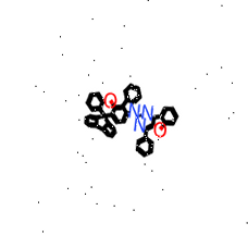 c1ccc(-c2nc(-n3c4ccccc4c4c5c(ccc43)C3(c4ccccc4O5)c4ccccc4-c4ccccc43)nc3c2oc2ccccc23)cc1